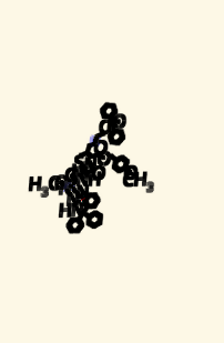 CO/N=C(\C(=O)N[C@@H]1C(=O)N2C(C(=O)OCc3ccc(OC)cc3)=C(C/C=C/COP(=O)(c3ccccc3)c3ccccc3)CS[C@@H]12)c1nsc(NC(c2ccccc2)(c2ccccc2)c2ccccc2)n1